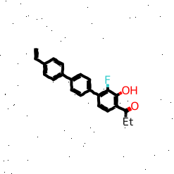 C=Cc1ccc(-c2ccc(-c3ccc(C(=O)CC)c(O)c3F)cc2)cc1